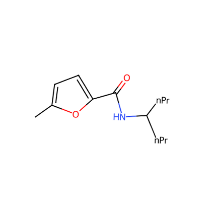 CCCC(CCC)NC(=O)c1ccc(C)o1